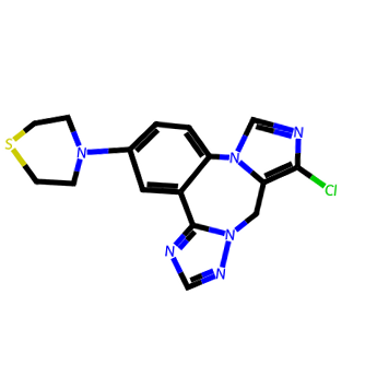 Clc1ncn2c1Cn1ncnc1-c1cc(N3CCSCC3)ccc1-2